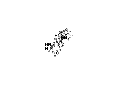 CCC(=O)OCCC1CCN(C(=O)[C@H](CCCNC(=N)N)NS(=O)(=O)c2cccc3c2NCCC3)CC1